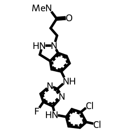 CNC(=O)CCN1NCc2cc(Nc3ncc(F)c(Nc4ccc(Cl)c(Cl)c4)n3)ccc21